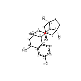 CC(C)(C)OC(=O)N1[C@@H]2CC[C@H]1CC(N1CCC(O)c3cc(Cl)nnc31)C2